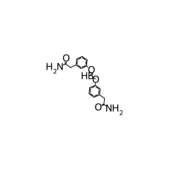 NC(=O)Cc1cccc(OBOc2cccc(CC(N)=O)c2)c1